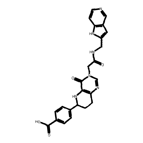 O=C(Cn1cnc2c(c1=O)NC(c1ccc(C(=O)O)cc1)CC2)NCc1cc2cnccc2[nH]1